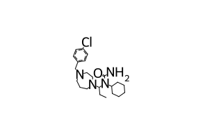 CCC(N1CCCN(Cc2ccc(Cl)cc2)CC1)N(C(N)=O)C1CCCCC1